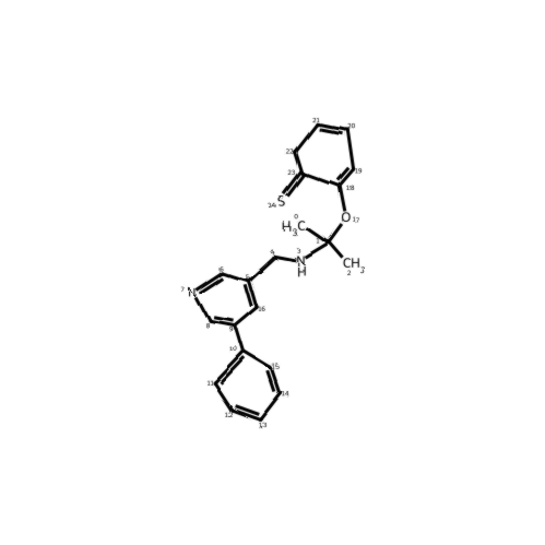 CC(C)(NCc1cncc(-c2ccccc2)c1)OC1=CC=CCC1=S